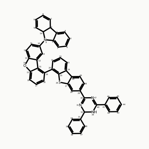 C1=CC2c3ccccc3N(c3ccc4oc5cccc(-c6cccc7c6sc6cc(C8=NC(c9ccccc9)NC(c9ccccc9)=N8)ccc67)c5c4c3)C2C=C1